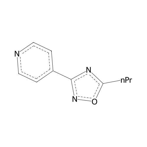 [CH2]CCc1nc(-c2ccncc2)no1